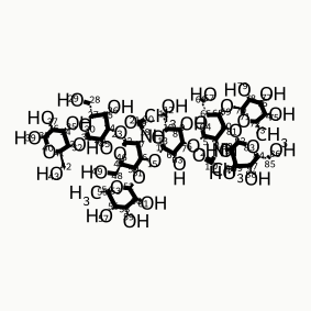 CC(=O)N[C@H]1[C@H](O[C@H]2[C@@H](O)[C@@H](CO)O[C@@H](O[C@@H]3[C@@H](NC(C)=O)[C@H](O[C@H]4[C@@H](O)[C@@H](CO)O[C@@H](O[C@H]5[C@H](O)[C@@H](O)[C@H](O)O[C@@H]5CO)[C@@H]4O)O[C@H](CO)[C@H]3O[C@@H]3O[C@@H](C)[C@@H](O)[C@@H](O)[C@@H]3O)[C@@H]2O)O[C@H](CO)[C@@H](O[C@@H]2O[C@@H](C)[C@@H](O)[C@@H](O)[C@@H]2O)[C@@H]1O[C@@H]1O[C@H](CO)[C@H](O)[C@H](O)[C@H]1O